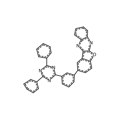 c1ccc(-c2nc(-c3ccccc3)nc(-c3cccc(-c4ccc5oc6nc7ccccc7nc6c5c4)c3)n2)cc1